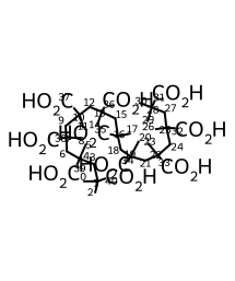 CC(C)(CC(C)(CC(C)(CC(C)(CC(C)(CC(C)(CC(C)(CC(C)(CC(C)(CC(C)(C)C(=O)O)C(=O)O)C(=O)O)C(=O)O)C(=O)O)C(=O)O)C(=O)O)C(=O)O)C(=O)O)C(=O)O